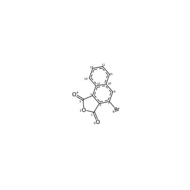 O=C1OC(=O)c2c1c(Br)cc1ccccc21